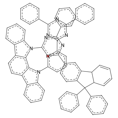 C1=CC2c3cc(-c4nc(-c5ccccc5)nc(-n5c6ccccc6c6ccc7c8ccccc8n(-c8cccc(-c9nc(-c%10ccccc%10)nc(-c%10ccccc%10)n9)c8)c7c65)n4)ccc3C(c3ccccc3)(c3ccccc3)C2C=C1